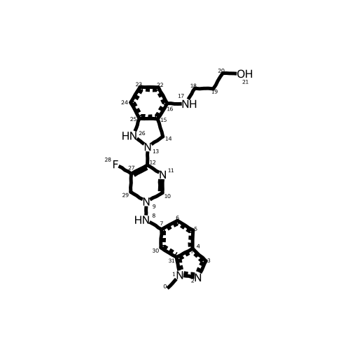 Cn1ncc2ccc(NN3C=NC(N4Cc5c(NCCCO)cccc5N4)=C(F)C3)cc21